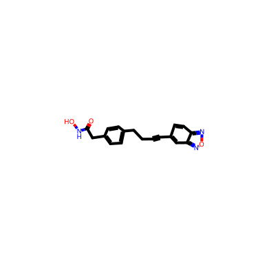 O=C(Cc1ccc(CCC#Cc2ccc3nonc3c2)cc1)NO